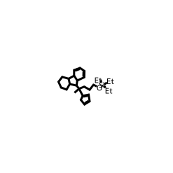 CC[Si](CC)(CC)OCCCC(C)(C1=CC=CC1)C1C2C=CC=CC2C2CCCCC21